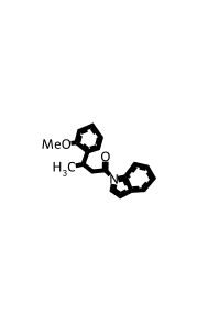 COc1ccccc1C(C)CC(=O)n1ccc2ccccc21